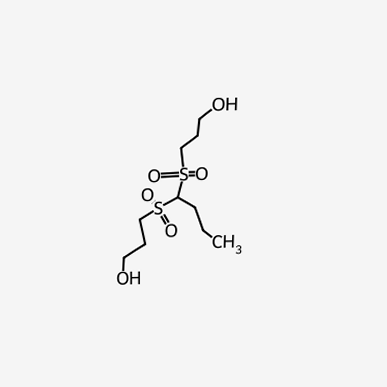 CCCC(S(=O)(=O)CCCO)S(=O)(=O)CCCO